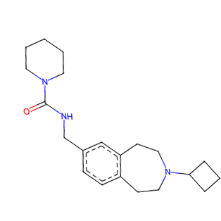 O=C(NCc1ccc2c(c1)CCN(C1CCC1)CC2)N1CCCCC1